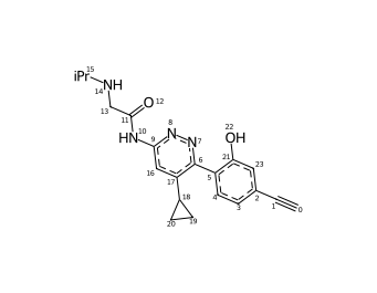 C#Cc1ccc(-c2nnc(NC(=O)CNC(C)C)cc2C2CC2)c(O)c1